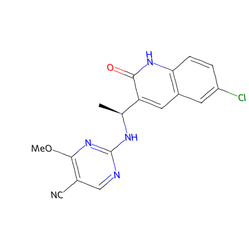 COc1nc(N[C@@H](C)c2cc3cc(Cl)ccc3[nH]c2=O)ncc1C#N